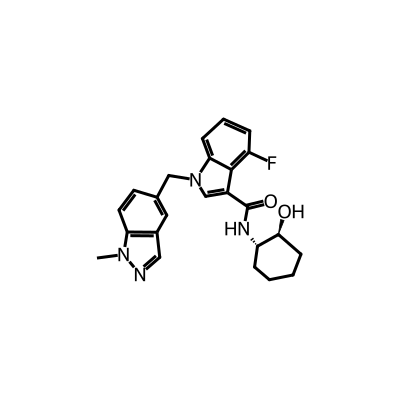 Cn1ncc2cc(Cn3cc(C(=O)N[C@H]4CCCC[C@@H]4O)c4c(F)cccc43)ccc21